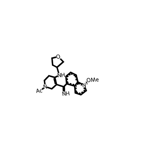 CO[n+]1cccc2c(C(=N)C3=C(NC4CCOC4)CCN(C(C)=O)C3)cccc21